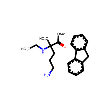 COC(=O)C(CCCN)(NCC(=O)O)C(=O)O.c1ccc2c(c1)Cc1ccccc1-2